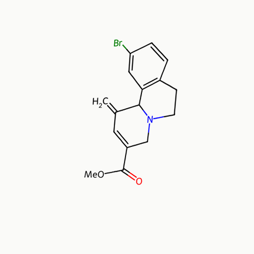 C=C1C=C(C(=O)OC)CN2CCc3ccc(Br)cc3C12